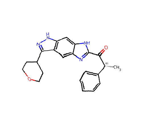 C[C@@H](C(=O)c1nc2cc3c(C4CCOCC4)n[nH]c3cc2[nH]1)c1ccccc1